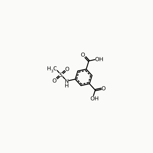 CS(=O)(=O)Nc1cc(C(=O)O)cc(C(=O)O)c1